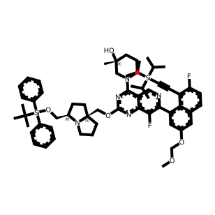 COCOc1cc(-c2ncc3c(N4CCC[C@@](C)(O)C4)nc(OC[C@@]45CCCN4[C@@H](CO[Si](c4ccccc4)(c4ccccc4)C(C)(C)C)CC5)nc3c2F)c2c(C#C[Si](C(C)C)(C(C)C)C(C)C)c(F)ccc2c1